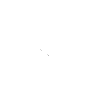 CC(C)(C)Oc1cc[nH]n1